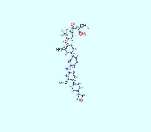 COc1nc(Nc2nccc(-c3ccc(OC4CCN(C(=O)C(C)O)CC4(F)F)c(C#N)c3)n2)ccc1N1CCN(C2COC2)CC1